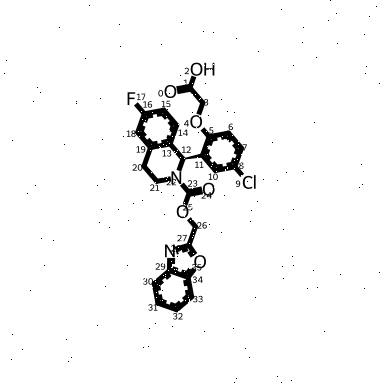 O=C(O)COc1ccc(Cl)cc1[C@@H]1c2ccc(F)cc2CCN1C(=O)OCc1nc2ccccc2o1